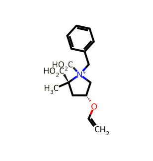 C=CO[C@@H]1C[C@@](C)(C(=O)O)[N+](Cc2ccccc2)(C(=O)O)C1